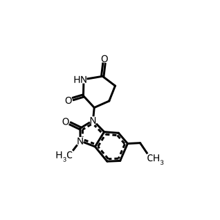 CCc1ccc2c(c1)n(C1CCC(=O)NC1=O)c(=O)n2C